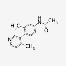 CC(=O)Nc1ccc(-c2cnccc2C)c(C)c1